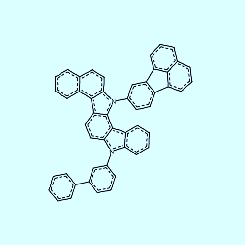 c1ccc(-c2cccc(-n3c4ccccc4c4c3ccc3c5c6ccccc6ccc5n(-c5ccc6c(c5)-c5cccc7cccc-6c57)c34)c2)cc1